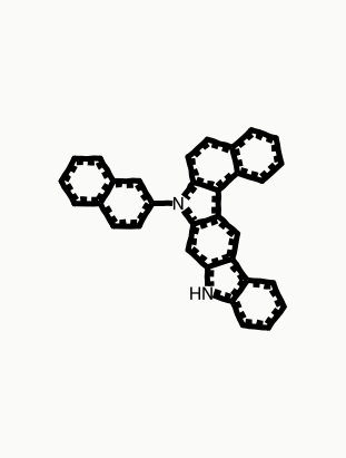 c1ccc2cc(-n3c4cc5[nH]c6ccccc6c5cc4c4c5ccccc5ccc43)ccc2c1